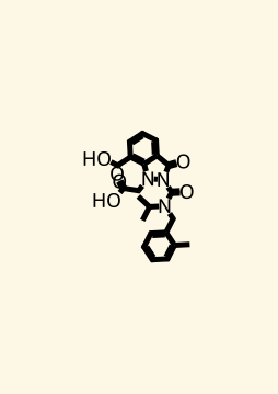 Cc1ccccc1CN(C(=O)n1c(=O)c2cccc(C(=O)O)c2n1CC(=O)O)C(C)C